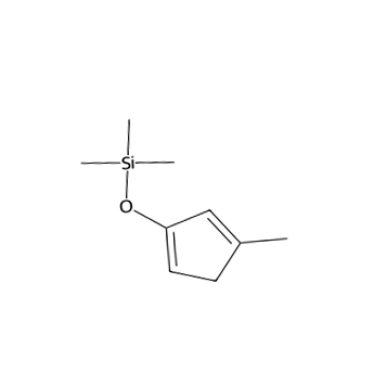 CC1=CC(O[Si](C)(C)C)=CC1